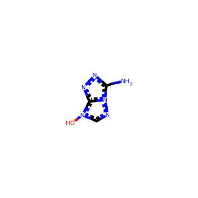 Nc1nnc2n(O)cnn12